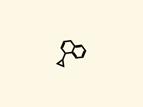 [CH]1C=CC(C2CC2)c2ccccc21